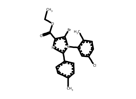 CCOC(=O)c1nc(-c2ccc(C)cc2)n(-c2cc(Cl)ccc2C)c1Br